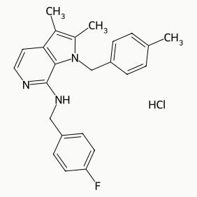 Cc1ccc(Cn2c(C)c(C)c3ccnc(NCc4ccc(F)cc4)c32)cc1.Cl